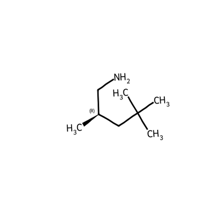 C[C@@H](CN)CC(C)(C)C